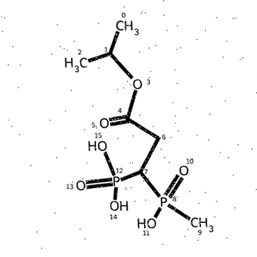 CC(C)OC(=O)CC(P(C)(=O)O)P(=O)(O)O